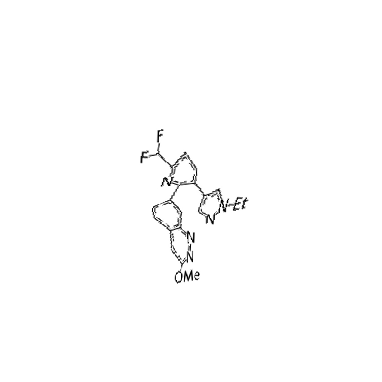 CCn1cc(-c2ccc(C(F)F)nc2-c2ccc3cc(OC)nnc3c2)cn1